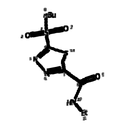 CCCCS(=O)(=O)c1nnc(C(=O)NCC)s1